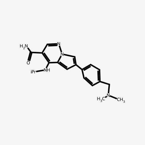 CC(C)Nc1c(C(N)=O)cnn2cc(-c3ccc(CN(C)C)cc3)cc12